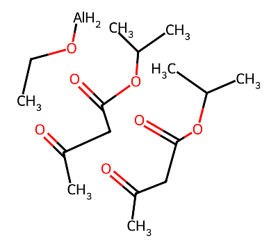 CC(=O)CC(=O)OC(C)C.CC(=O)CC(=O)OC(C)C.CC[O][AlH2]